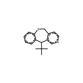 CC(C)(C)C1c2cnccc2CSc2ccccc21